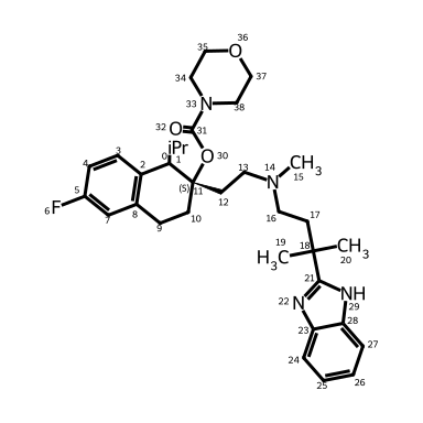 CC(C)C1c2ccc(F)cc2CC[C@@]1(CCN(C)CCC(C)(C)c1nc2ccccc2[nH]1)OC(=O)N1CCOCC1